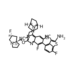 N#CCCCN1[C@@H]2CC[C@H]1CN(c1nc(OC[C@@]34CCCN3C[C@H](F)C4)nc3c(F)c(-c4ccc(F)c5sc(N)c(C#N)c45)c(Cl)cc13)C2